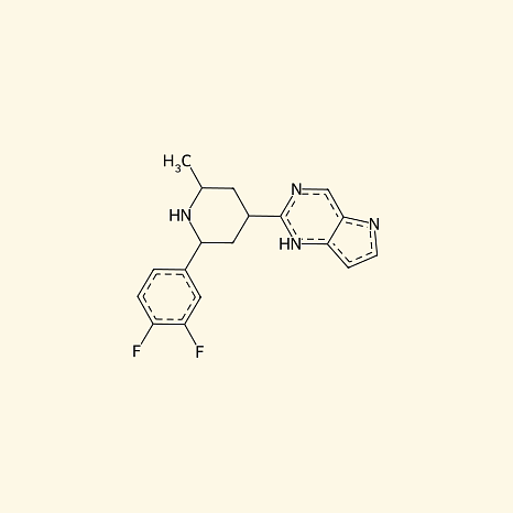 CC1CC(c2ncc3nccc-3[nH]2)CC(c2ccc(F)c(F)c2)N1